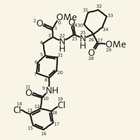 COC(=O)C(Cc1ccc(NC(=O)c2c(Cl)cccc2Cl)cc1)NC(=O)NC1(C(=O)OC)CCCCC1